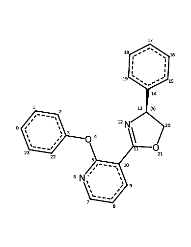 c1ccc(Oc2ncccc2C2=N[C@@H](c3ccccc3)CO2)cc1